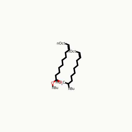 CCCCCCCC/C=C\CCCCCCC(CCCC)C(=O)O.CCCCCCCC/C=C\CCCCCCCC(=O)OCCCC